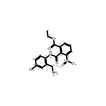 CCOC(=O)c1cccc([N+](=O)[O-])c1C(=O)Nc1ccc(Cl)cc1CN